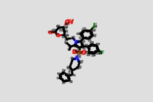 CC(C)c1c(S(=O)(=O)N2CCC(Cc3ccccc3)CC2)c(-c2ccc(F)cc2)c(-c2ccc(F)cc2)n1CC[C@@H]1C[C@@H](O)CC(=O)O1